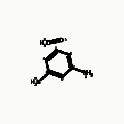 C=O.Nc1cccc(N)c1